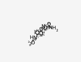 CC(C)OCCNCc1cccc2c(Oc3ccc(C(N)=O)cn3)cccc12